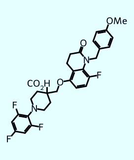 COc1ccc(CN2C(=O)CCc3c(OCC4(C(=O)O)CCN(c5c(F)cc(F)cc5F)CC4)ccc(F)c32)cc1